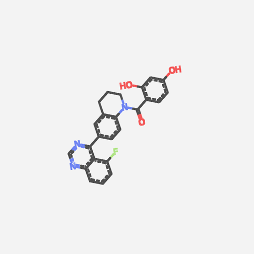 O=C(c1ccc(O)cc1O)N1CCCc2cc(-c3ncnc4cccc(F)c34)ccc21